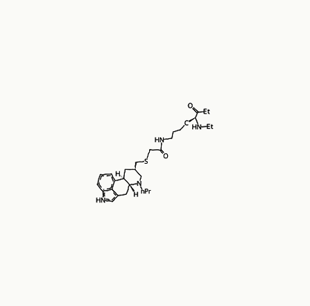 CCCN1C[C@H](CSCC(=O)NCCCC[C@H](NCC)C(=O)CC)C[C@@H]2c3cccc4[nH]cc(c34)C[C@H]21